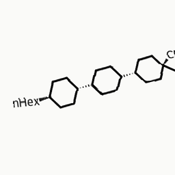 CCCCCC[C@H]1CC[C@H](C2CCC([C@H]3CC[C@](C)(C#N)CC3)CC2)CC1